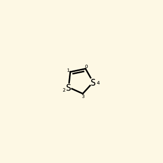 C1=CSCS1